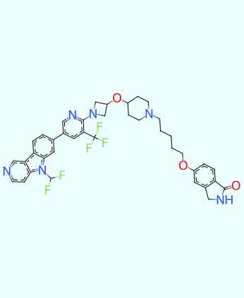 O=C1NCc2cc(OCCCCCN3CCC(OC4CN(c5ncc(-c6ccc7c8cnccc8n(C(F)F)c7c6)cc5C(F)(F)F)C4)CC3)ccc21